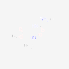 CC(C)C[C@H](N)C(=O)N[C@@H](CCC(=O)OC(C)(C)C)C(=O)NCC(=O)O